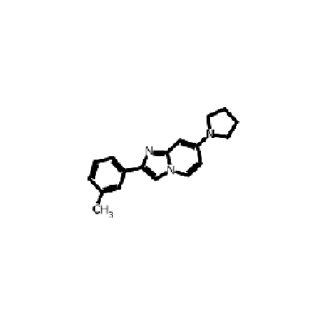 Cc1cccc(-c2cn3ccc(N4CCCC4)cc3n2)c1